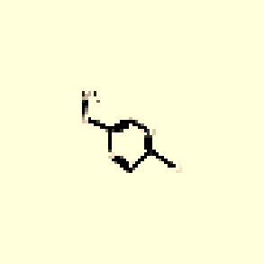 NSc1cnc(Cl)cn1